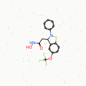 O=C(CC1c2cc(OC(F)(F)F)ccc2SN1c1ccccc1)NO